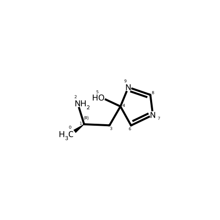 C[C@@H](N)CC1(O)C=NC=N1